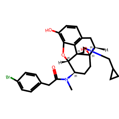 CN(C(=O)Cc1ccc(Br)cc1)[C@@H]1CC[C@@]2(O)[C@H]3Cc4ccc(O)c5c4[C@@]2(CCN3CC2CC2)[C@H]1O5